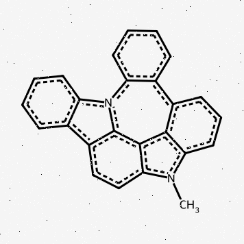 Cn1c2cccc3c4ccccc4n4c5ccccc5c5ccc1c(c32)c54